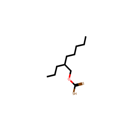 CCCCCC(CCC)COC(=S)S